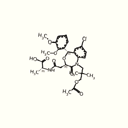 COc1cccc([C@H]2O[C@H](CC(=O)N[C@H](C)C(=O)O)C(=O)N(CC(C)(C)COC(C)=O)c3ccc(Cl)cc32)c1OC